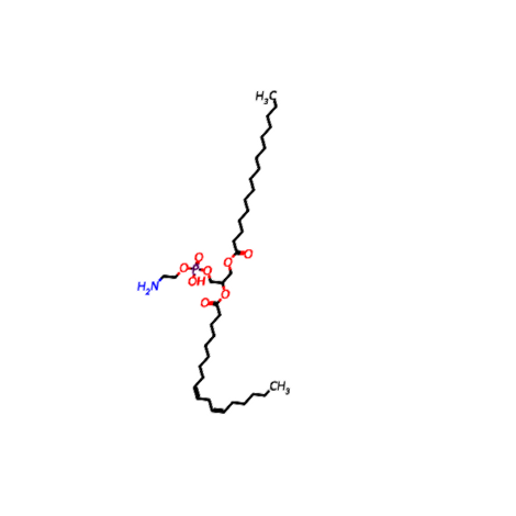 CCCCC/C=C\C/C=C\CCCCCCCC(=O)OC(COC(=O)CCCCCCCCCCCCCCC)COP(=O)(O)OCCN